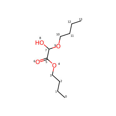 CCCCOC(=O)C(O)OCCCC